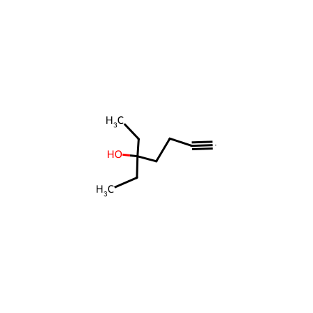 [C]#CCCC(O)(CC)CC